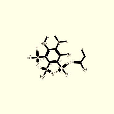 CCC(=O)O.CNc1c(N(C)C)[c]([Na])c(S(=O)(=O)O)c(S(=O)(=O)O)c1S(=O)(=O)O